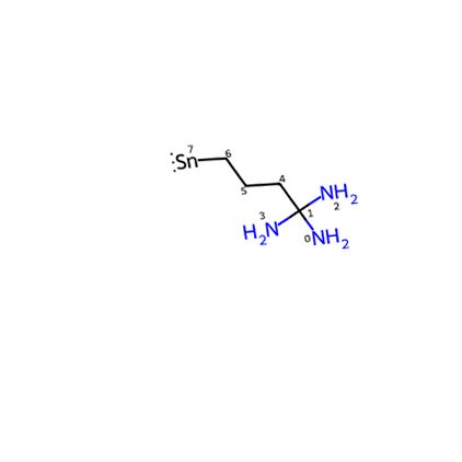 NC(N)(N)CC[CH2][Sn]